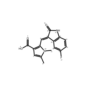 Cc1cc(C(=O)O)c(C=C2C(=O)Nc3ccc(F)cc32)n1C